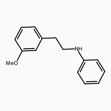 COc1cccc(CCNc2ccccc2)c1